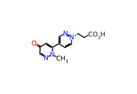 Cn1ncc(=O)cc1-c1cc[n+](CCC(=O)O)nc1